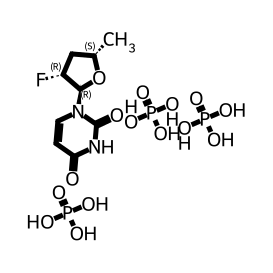 C[C@H]1C[C@@H](F)[C@H](n2ccc(=O)[nH]c2=O)O1.O=P(O)(O)O.O=P(O)(O)O.O=P(O)(O)O